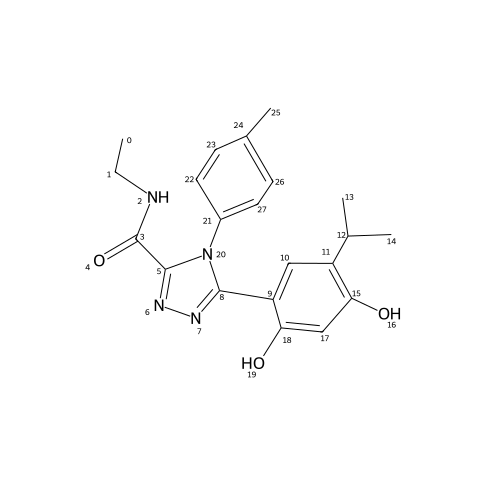 CCNC(=O)c1nnc(-c2cc(C(C)C)c(O)cc2O)n1-c1ccc(C)cc1